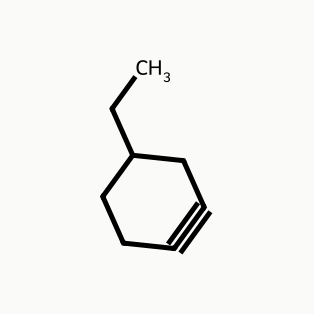 CCC1CC#CCC1